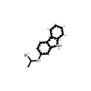 CC(Br)Oc1ccc2c(c1)[nH]c1ccccc12